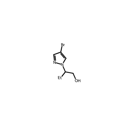 CCC(CO)n1cc(Br)cn1